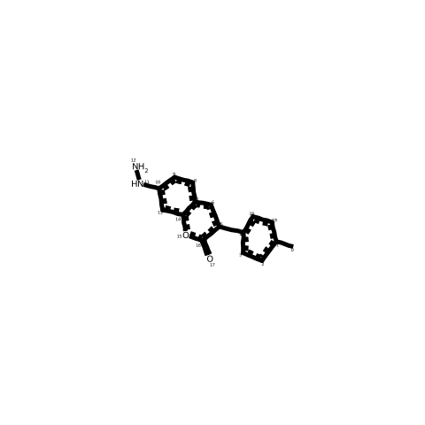 Cc1ccc(-c2cc3ccc(NN)cc3oc2=O)cc1